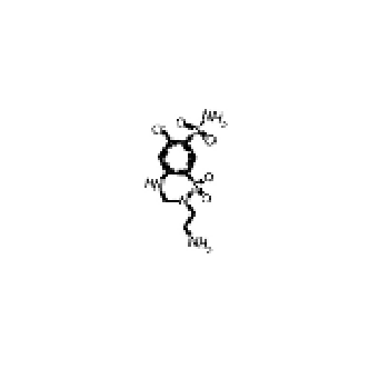 NCCN1CNc2cc(Cl)c(S(N)(=O)=O)cc2S1(=O)=O